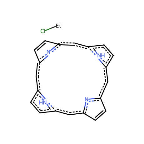 C1=Cc2cc3ccc(cc4nc(cc5ccc(cc1n2)[nH]5)C=C4)[nH]3.CCCl